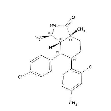 Cc1ccc([C@@H]2CC[C@@]3(C)C(=O)N[C@H](C)[C@H]3[C@H]2c2ccc(Cl)cc2)c(Cl)c1